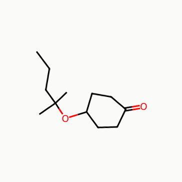 CCCC(C)(C)OC1CCC(=O)CC1